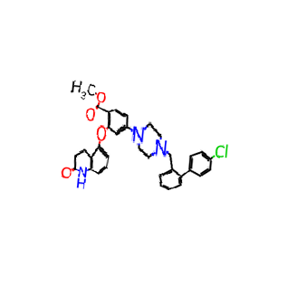 COC(=O)c1ccc(N2CCN(Cc3ccccc3-c3ccc(Cl)cc3)CC2)cc1Oc1cccc2c1CCC(=O)N2